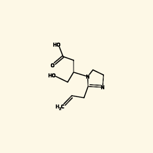 C=CCC1=NCCN1C(CO)CC(=O)O